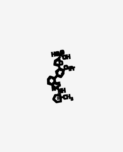 CC(C)Oc1ccc(-c2cccc3nc(N[C@H]4CCCC[C@@H]4C)sc23)cc1-c1ccc(P(=O)(O)O)o1